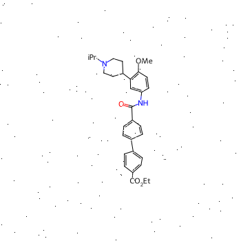 CCOC(=O)c1ccc(-c2ccc(C(=O)Nc3ccc(OC)c(C4CCN(C(C)C)CC4)c3)cc2)cc1